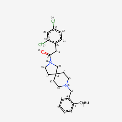 CC(C)COc1ccccc1CN1CCC2(CC1)CCN(C(=O)Cc1ccc(Cl)cc1Cl)C2